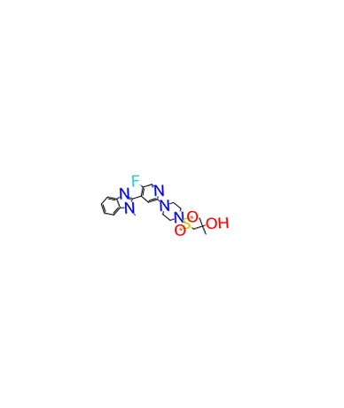 Cn1c(-c2cc(N3CCN(S(=O)(=O)CC(C)(C)O)CC3)ncc2F)nc2ccccc21